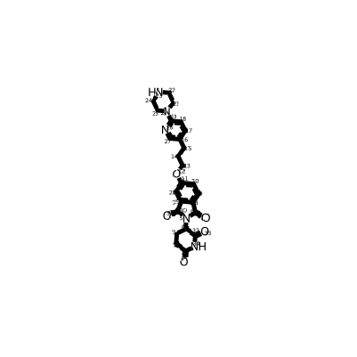 O=C1CCC(N2C(=O)c3ccc(OCCCc4ccc(N5CCNCC5)nc4)cc3C2=O)C(=O)N1